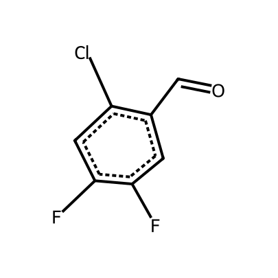 O=Cc1cc(F)c(F)cc1Cl